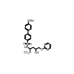 COc1ccc(-c2ccc(S(=O)(=O)NC(CC(O)COc3ncccn3)C(=O)O)cc2)cc1